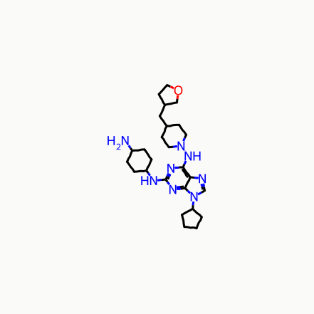 NC1CCC(Nc2nc(NN3CCC(CC4CCOC4)CC3)c3ncn(C4CCCC4)c3n2)CC1